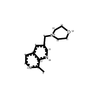 Cc1nccc2cc(CN3CCOCC3)cnc12